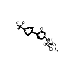 CS(=O)(=O)Nc1ccc(-c2ccc(C(F)(F)F)cc2)c(Cl)c1